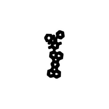 Cc1cc(-c2ccc3c4cc5c(cc4c4cccc2c43)c2cccc3cccc5c32)c(C)c2c1N(c1ccccc1)C1(C)CCCCC21C